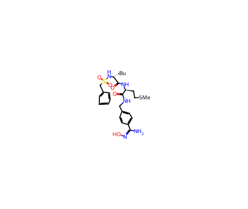 CCC(C)[C@@H](NS(=O)(=O)Cc1ccccc1)C(=O)N[C@@H](CCSC)C(=O)NCc1ccc(/C(N)=N\O)cc1